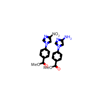 COC(=O)c1ccc(-n2cnc(N)c2)cc1.COC(=O)c1ccc(-n2cnc([N+](=O)[O-])c2)cc1